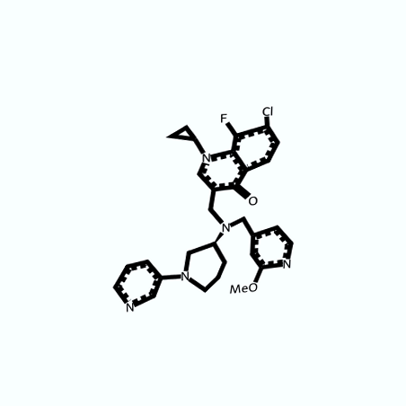 COc1cc(CN(Cc2cn(C3CC3)c3c(F)c(Cl)ccc3c2=O)[C@H]2CCCN(c3cccnc3)C2)ccn1